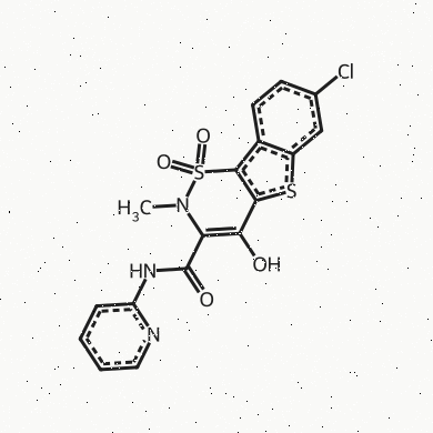 CN1C(C(=O)Nc2ccccn2)=C(O)c2sc3cc(Cl)ccc3c2S1(=O)=O